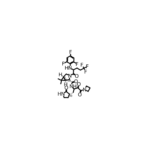 CC1(C)[C@@H]2[C@@H](C(=O)NC(C[C@@H]3CCNC3=O)C(=O)C(=O)N3CCC3)N(C(=O)C(CCC(F)(F)F)Nc3c(F)cc(F)cc3F)C[C@@H]21